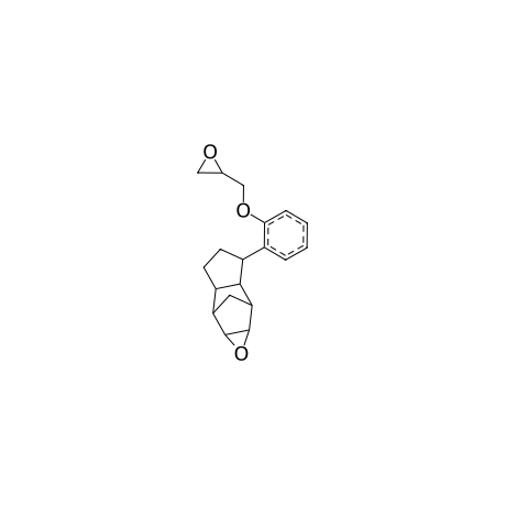 c1ccc(C2CCC3C4CC(C5OC45)C23)c(OCC2CO2)c1